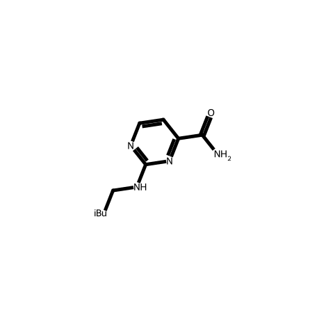 CCC(C)CNc1nccc(C(N)=O)n1